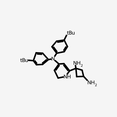 CC(C)(C)c1ccc(N(C2=CCNC(C3(N)CC(N)C3)=C2)c2ccc(C(C)(C)C)cc2)cc1